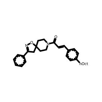 CCCCCCCCc1ccc(C=CC(=O)N2CCC3(CC2)CC(c2ccccc2)=NO3)cc1